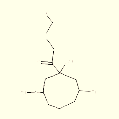 CCC1CCCC(CC)CC(O)(C(=O)COCO)C1